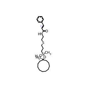 CC1(O[Si](C)(C)CCCSCCNC(=O)/C=C/c2ccccc2)CCCCCCCCCC1